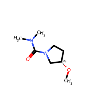 CO[C@H]1CCN(C(=O)N(C)C)C1